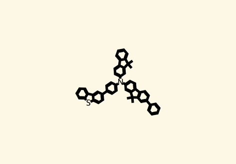 CC1(C)c2ccccc2-c2ccc(N(c3ccc(-c4ccc5sc6ccccc6c5c4)cc3)c3ccc4c(c3)C(C)(C)c3cc(-c5ccccc5)ccc3-4)cc21